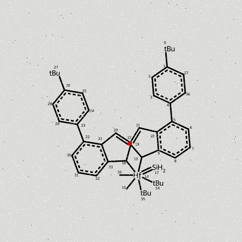 CC(C)(C)c1ccc(-c2cccc3c2C=C[CH]3[Hf]([CH3])([CH3])(=[SiH2])([CH]2C=Cc3c(-c4ccc(C(C)(C)C)cc4)cccc32)([C](C)(C)C)[C](C)(C)C)cc1